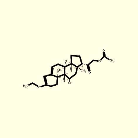 CCOC1=CC2=CC[C@@H]3[C@H]([C@@H](O)C[C@]4(C)[C@@H](C(=O)COC(C)=O)CC[C@@H]34)[C@@]2(C)CC1